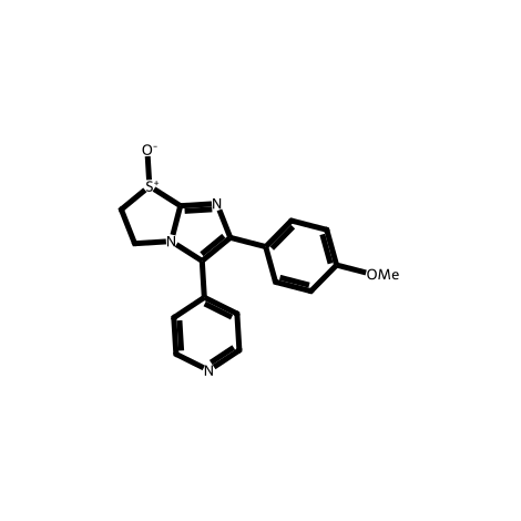 COc1ccc(-c2nc3n(c2-c2ccncc2)CC[S+]3[O-])cc1